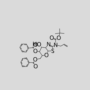 C=CCN(C(=O)OC(C)(C)C)C1=NC2C(OC(COC(=O)c3ccccc3)C(OC(=O)c3ccccc3)C2O)S1